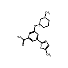 Cc1cnc(-c2cc(O[C@@H]3CCCN(C)C3)cc(C(=O)O)c2)s1